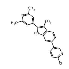 Cc1cc(-c2[nH]c3cc(-c4ccc(Cl)nc4)ccc3c2C)cc(C)n1